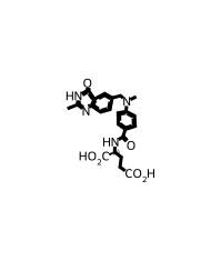 Cc1nc2ccc(CN(C)c3ccc(C(=O)N[C@@H](CCC(=O)O)C(=O)O)cc3)cc2c(=O)[nH]1